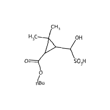 CCCCOC(=O)C1C(C(O)S(=O)(=O)O)C1(C)C